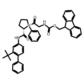 CC(C)(C)c1cc(NC(=O)[C@@H]2CCC[N+]2(C(=O)CNC(=O)OCC2c3ccccc3-c3ccccc32)c2ccccc2)ccc1-c1ccccc1